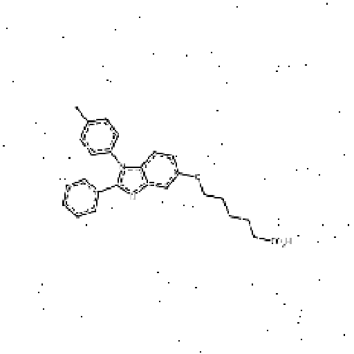 Cc1ccc(-n2c(-c3ccccc3)nc3cc(OCCCCCC(=O)O)ccc32)cc1